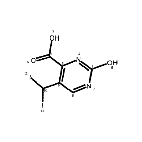 O=C(O)c1nc(O)ncc1C(I)I